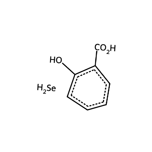 O=C(O)c1ccccc1O.[SeH2]